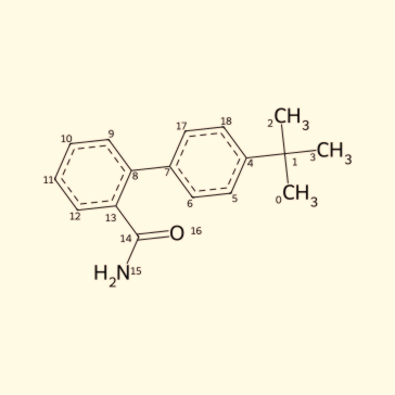 CC(C)(C)c1ccc(-c2ccccc2C(N)=O)cc1